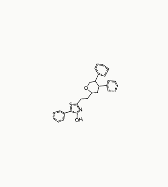 Oc1nc(CCC2CC(c3ccccc3)C(c3ccccc3)CO2)sc1-c1ccccc1